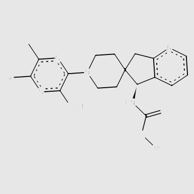 CCOC(=O)c1nc(Br)c(C)nc1N1CCC2(CC1)Cc1ncccc1[C@H]2NC(=O)OC(C)(C)C